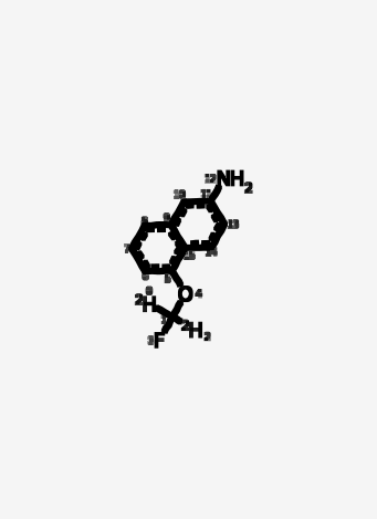 [2H]C([2H])(F)Oc1cccc2cc(N)ccc12